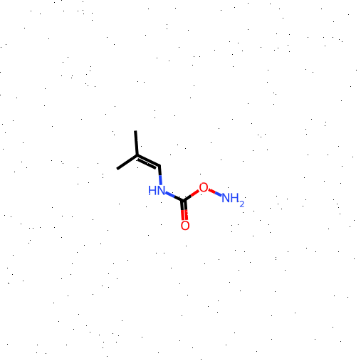 CC(C)=CNC(=O)ON